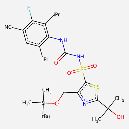 CC(C)c1cc(C#N)c(F)c(C(C)C)c1NC(=O)NS(=O)(=O)c1sc(C(C)(C)O)nc1CO[Si](C)(C)C(C)(C)C